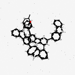 CC1C=CC(n2c3ccccc3c3cc(-c4ccc5oc6cccc(-c7nc(-c8ccc9oc%10ccccc%10c9c8)nc8c7oc7ccc(-c9ccccc9)cc78)c6c5c4)ccc32)=CC1